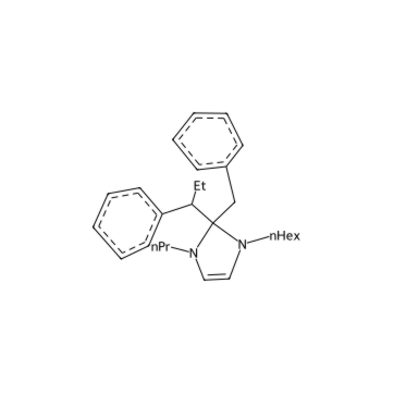 CCCCCCN1C=CN(CCC)C1(Cc1ccccc1)C(CC)c1ccccc1